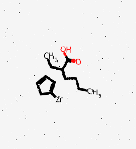 CCCCC(CC)C(=O)O.[Zr][C]1=CC=CC1